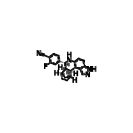 N#Cc1ccc([C@@H]2Nc3ccc4[nH]ncc4c3[C@H]3[C@@H]4CC[C@H](C4)[C@H]32)cc1F